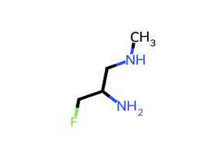 CNCC(N)CF